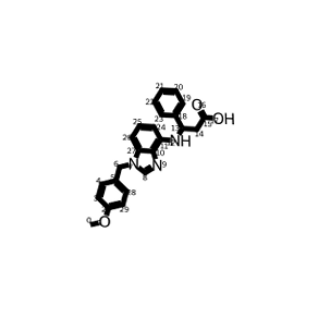 COc1ccc(Cn2cnc3c(NC(CC(=O)O)c4ccccc4)cccc32)cc1